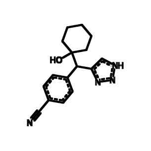 N#Cc1ccc(C(c2c[nH]nn2)C2(O)CCCCC2)cc1